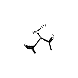 CC(=O)N(BO)C(C)=O